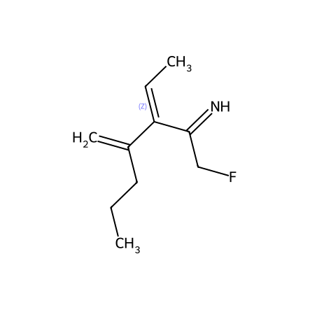 C=C(CCC)/C(=C/C)C(=N)CF